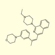 CCN1CCN(c2nc(C=C(C)c3cccc(N4CCOCC4)c3)cc3ccccc23)CC1